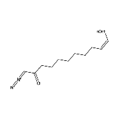 CCCCCCCC/C=C\CCCCCCCC(=O)C=[N+]=[N-]